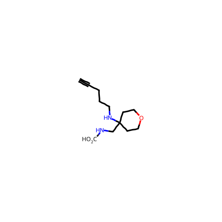 C#CCCCNC1(CNC(=O)O)CCOCC1